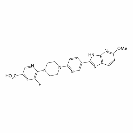 COc1ccc2nc(-c3ccc(N4CCN(c5ncc(C(=O)O)cc5F)CC4)nc3)[nH]c2n1